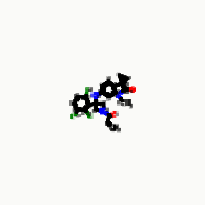 C=CC(=O)N1CC(Nc2ccc3c(c2)N(C)C(=O)C32CC2)(c2c(F)ccc(Cl)c2Cl)C1